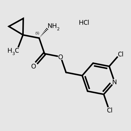 CC1([C@H](N)C(=O)OCc2cc(Cl)nc(Cl)c2)CC1.Cl